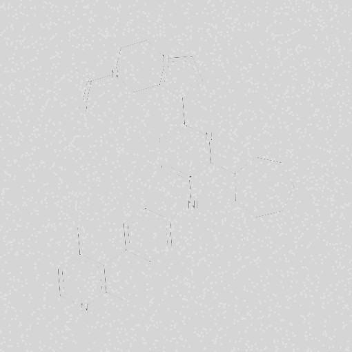 CC(=O)N1CCn2ccc(C(=O)NC(C(=O)Nc3ccc(-c4c(C)ccnc4C)cc3)C3CCCCCC3)c2C1